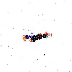 CC(C)C1=C2[C@H]3CC[C@@H]4[C@@]5(C)CC=C(C6=CC[C@](CF)(C(=O)O)CC6)C(C)(C)[C@@H]5CC[C@@]4(C)[C@]3(C)CC[C@@]2(NCCN2CCC(S(C)(=O)=O)CC2)CC1=O